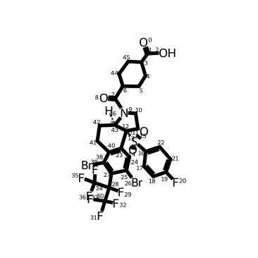 O=C(O)C1CCC(C(=O)N2CC[C@@]3(S(=O)(=O)c4ccc(F)cc4)c4cc(Br)c(C(F)(C(F)(F)F)C(F)(F)F)c(Br)c4CC[C@@H]23)CC1